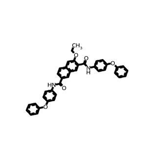 CCOc1cc2ccc(C(=O)Nc3ccc(Oc4ccccc4)cc3)cc2cc1C(=O)Nc1ccc(Oc2ccccc2)cc1